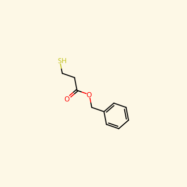 O=C(CCS)OCc1ccccc1